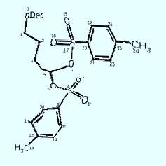 CCCCCCCCCCCCCC(OS(=O)(=O)c1ccc(C)cc1)OS(=O)(=O)c1ccc(C)cc1